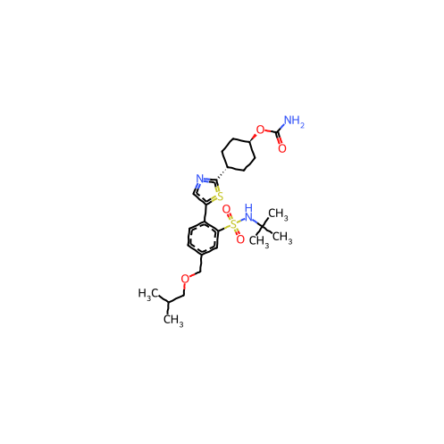 CC(C)COCc1ccc(-c2cnc([C@H]3CC[C@H](OC(N)=O)CC3)s2)c(S(=O)(=O)NC(C)(C)C)c1